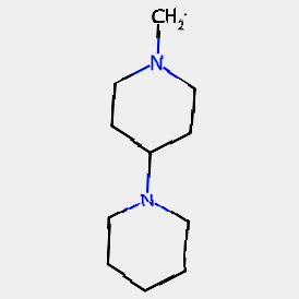 [CH2]N1CCC(N2CCCCC2)CC1